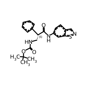 CC(C)(C)OC(=O)NC[C@@H](C(=O)Nc1ccc2cnsc2c1)c1ccccc1